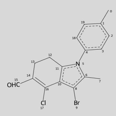 Cc1ccc(-n2c(C)c(Br)c3c2CCC(C=O)=C3Cl)cc1